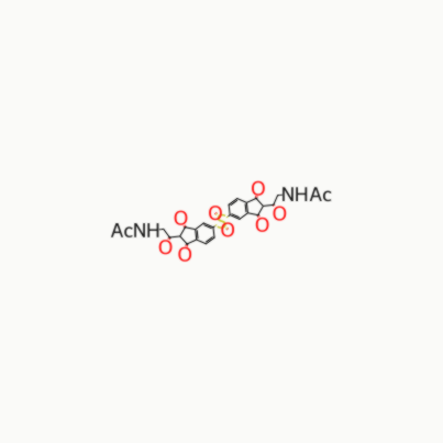 CC(=O)NCC(=O)C1C(=O)c2ccc(S(=O)(=O)c3ccc4c(c3)C(=O)C(C(=O)CNC(C)=O)C4=O)cc2C1=O